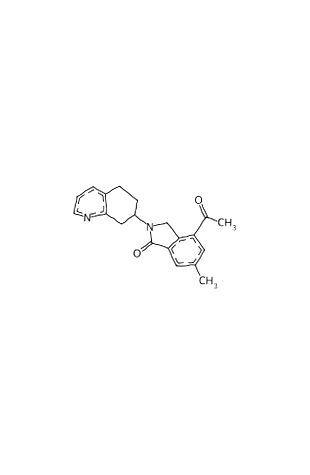 CC(=O)c1cc(C)cc2c1CN(C1CCc3cccnc3C1)C2=O